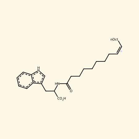 CCCCCCCC/C=C\CCCCCCCC(=O)NC(Cc1c[nH]c2ccccc12)C(=O)O